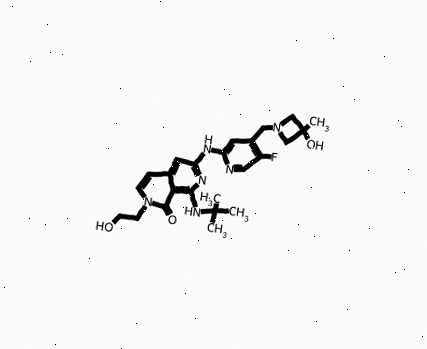 CC1(O)CN(Cc2cc(Nc3cc4ccn(CCO)c(=O)c4c(NC(C)(C)C)n3)ncc2F)C1